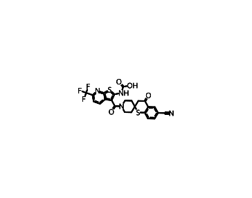 N#Cc1ccc2c(c1)C(=O)CC1(CCN(C(=O)c3c(NC(=O)O)sc4nc(C(F)(F)F)ccc34)CC1)S2